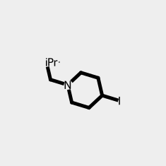 C[C](C)CN1CCC(I)CC1